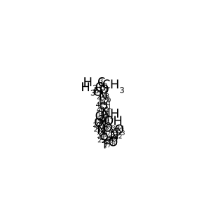 CC(C)(C)OC(=O)N1CCc2cc(NC(=O)[C@H](O)[C@H]3OCCN(c4ccc(F)c(C(=O)N5CCOCC5)c4)C3=O)ccc2C1